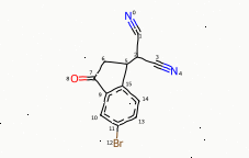 N#CC(C#N)C1CC(=O)c2cc(Br)ccc21